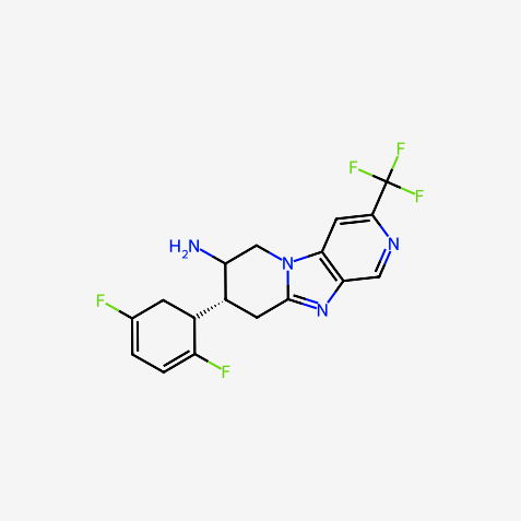 NC1Cn2c(nc3cnc(C(F)(F)F)cc32)C[C@@H]1C1CC(F)=CC=C1F